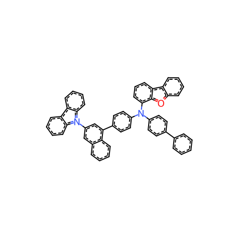 c1ccc(-c2ccc(N(c3ccc(-c4cc(-n5c6ccccc6c6ccccc65)cc5ccccc45)cc3)c3cccc4c3oc3ccccc34)cc2)cc1